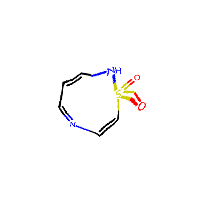 O=S1(=O)\C=C/N=C\C=C/N1